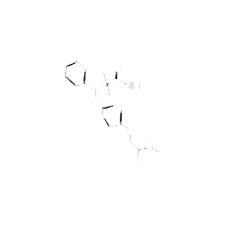 COC(COc1ccc(OC(c2ccccc2)C(C)(C)C(N)=O)cc1)OC